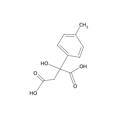 Cc1ccc(C(O)(CC(=O)O)C(=O)O)cc1